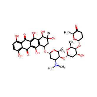 CC[C@@]1(O)C[C@H](O[C@H]2C[C@H](N(C)C)[C@H](O[C@H]3C[C@H](O)[C@H](O[C@H]4CCC(=O)[C@H](C)O4)[C@H](C)O3)[C@H](C)O2)c2c(O)c3c(c(O)c2[C@H]1O)C(=O)c1c(O)ccc(O)c1C3=O